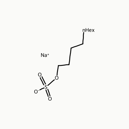 CCCCCCCCCCOS(=O)(=O)[O-].[Na+]